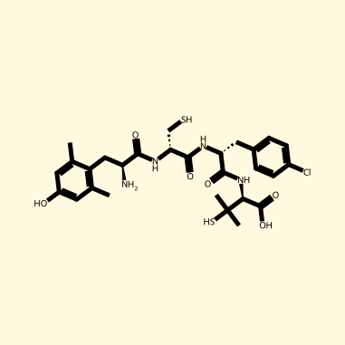 Cc1cc(O)cc(C)c1C[C@H](N)C(=O)N[C@H](CS)C(=O)N[C@H](Cc1ccc(Cl)cc1)C(=O)N[C@@H](C(=O)O)C(C)(C)S